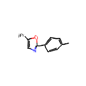 Cc1ccc(-c2ncc(C(C)C)o2)cc1